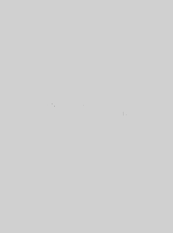 CC(OCCBr)[N+](=O)[O-]